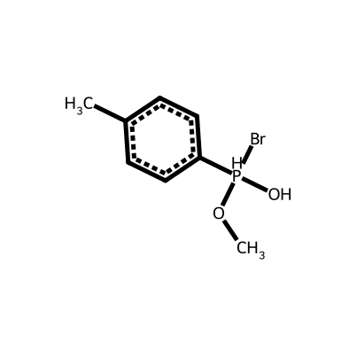 CO[PH](O)(Br)c1ccc(C)cc1